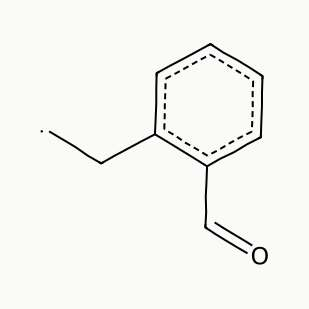 [CH2]Cc1ccccc1C=O